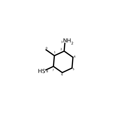 CC1C(N)CCCC1S